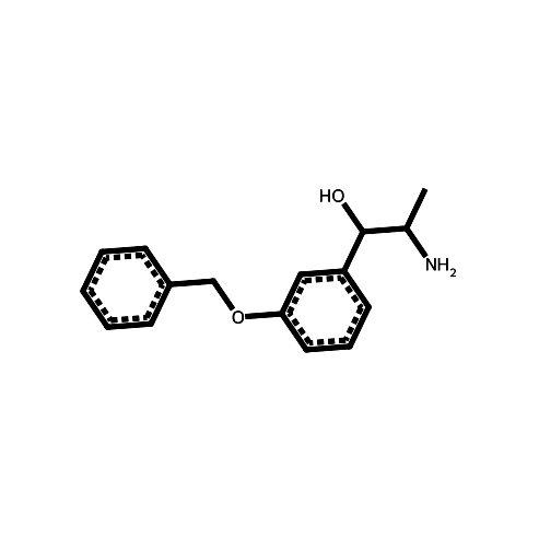 CC(N)C(O)c1cccc(OCc2ccccc2)c1